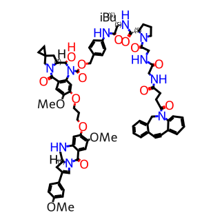 CC[C@H](C)[C@H](NC(=O)[C@@H]1CCCN1C(=O)CNC(=O)CNC(=O)CCC(=O)N1Cc2ccccc2C#Cc2ccccc21)C(=O)Nc1ccc(COC(=O)N2c3cc(OCCCOc4cc5c(cc4OC)C(=O)N4C=C(c6ccc(OC)cc6)C[C@H]4CN5)c(OC)cc3C(=O)N3CC4(CC4)C[C@H]3C2O)cc1